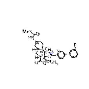 CNC(=O)N[C@@H]1CC[C@]2(C)[C@@H](C1)C[C@H]1C(=O)O[C@H](C)[C@H]1[C@H]2/C=C/c1ccc(-c2cccc(F)c2)cn1